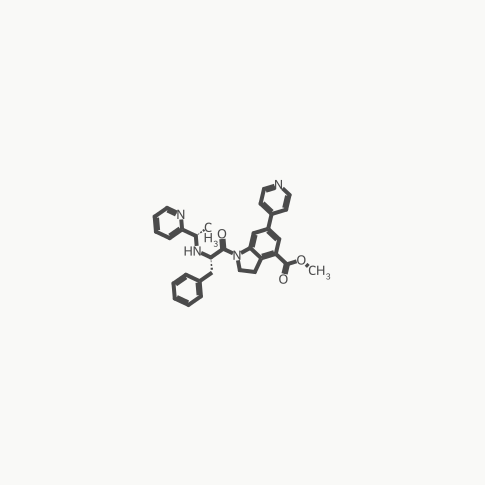 COC(=O)c1cc(-c2ccncc2)cc2c1CCN2C(=O)[C@H](Cc1ccccc1)N[C@@H](C)c1ccccn1